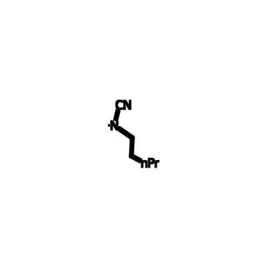 CCCCC[N]C#N